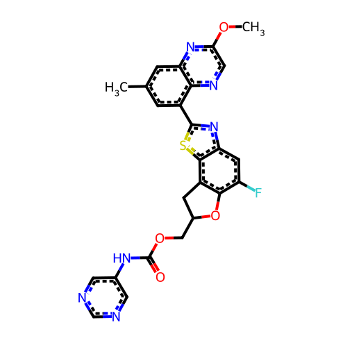 COc1cnc2c(-c3nc4cc(F)c5c(c4s3)CC(COC(=O)Nc3cncnc3)O5)cc(C)cc2n1